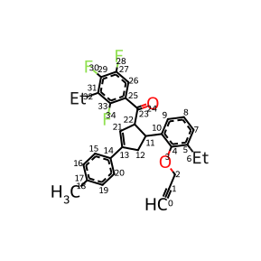 C#CCOc1c(CC)cccc1C1CC(c2ccc(C)cc2)=CC1C(=O)c1cc(F)c(F)c(CC)c1F